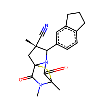 CN1C(=O)C23C[C@](C)(C#N)C(c4ccc5c(c4)CCC5)N2C(=O)C1(C)SS3